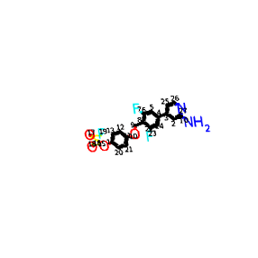 Nc1cc(-c2cc(F)c(COc3ccc(OS(=O)(=O)F)cc3)c(F)c2)ccn1